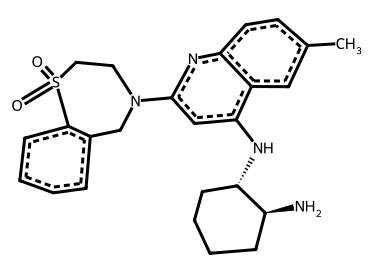 Cc1ccc2nc(N3CCS(=O)(=O)c4ccccc4C3)cc(N[C@H]3CCCC[C@@H]3N)c2c1